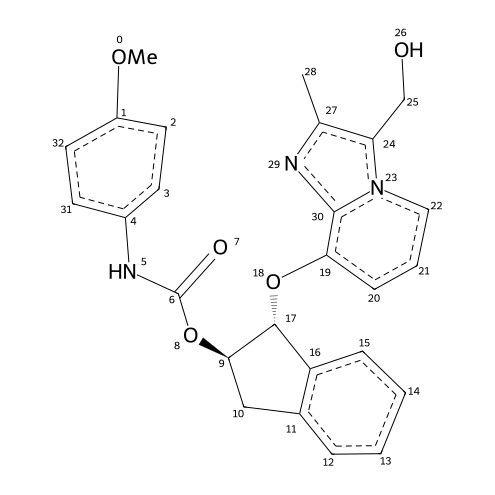 COc1ccc(NC(=O)O[C@@H]2Cc3ccccc3[C@H]2Oc2cccn3c(CO)c(C)nc23)cc1